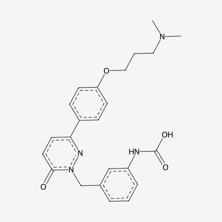 CN(C)CCCOc1ccc(-c2ccc(=O)n(Cc3cccc(NC(=O)O)c3)n2)cc1